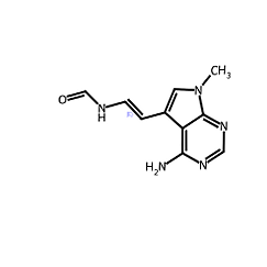 Cn1cc(/C=C/NC=O)c2c(N)ncnc21